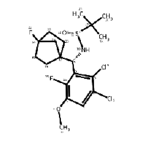 COc1cc(Cl)c(Cl)c([C@@H](N[S@+]([O-])C(C)(C)C)C23CCC(F)(CC2)C3)c1F